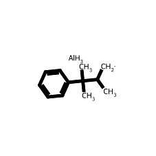 [AlH3].[CH2]C(C)C(C)(C)c1ccccc1